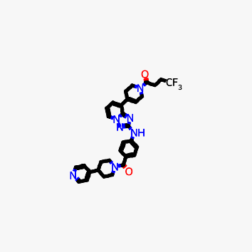 O=C(CCC(F)(F)F)N1CC=C(c2cccn3nc(Nc4ccc(C(=O)N5CCC(c6ccncc6)CC5)cc4)nc23)CC1